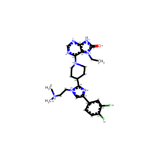 CCn1c(=O)[nH]c2ncnc(N3CCC(c4nc(-c5ccc(F)c(F)c5)cn4CCN(C)C)CC3)c21